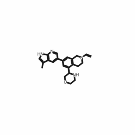 C=CN1CCc2c(cc(-c3cnc4[nH]cc(C)c4c3)cc2C2COCCN2)C1